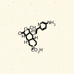 C[C@H]1OC(=O)[C@@H]2C[C@@H]3CN(C(=O)O)CC[C@H]3[C@H](/C=C/c3ccc(N)cn3)[C@H]12